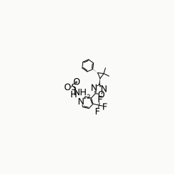 CC1(C)[C@@H](c2ccccc2)[C@@H]1c1noc(-c2cnccc2C(F)(F)F)n1.N[SH](=O)=O